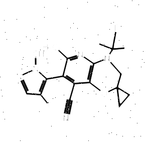 Cc1nc2c(c(C#N)c1-c1c(I)cnn1C)OC1(CC1)CN2C(F)(F)F